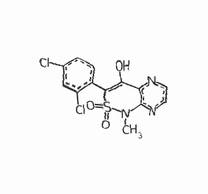 CN1c2nccnc2C(O)=C(c2ccc(Cl)cc2Cl)S1(=O)=O